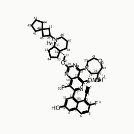 C#Cc1c(F)ccc2cc(O)cc(-c3nc(OC)c4c(N5CCOC[C@@](C)(O)C5)nc(OC[C@]56CCC[C@H]5N(C5CC7(CCCC7)C5)CCC6)nc4c3F)c12